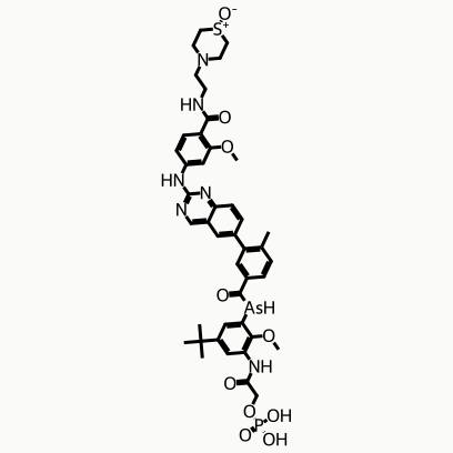 COc1cc(Nc2ncc3cc(-c4cc(C(=O)[AsH]c5cc(C(C)(C)C)cc(NC(=O)COP(=O)(O)O)c5OC)ccc4C)ccc3n2)ccc1C(=O)NCCN1CC[S+]([O-])CC1